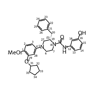 COc1ccc(N2CCN(C(=O)Nc3cccc(O)c3)[C@@H](Cc3ccccc3)C2)cc1OC1CCCC1